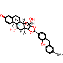 CNc1cccc(Cc2ccc([C@@H]3O[C@@H]4C[C@H]5[C@@H]6CCC7=CC(=O)C=C[C@]7(C)[C@@]6(F)[C@@H](O)C[C@]5(C)[C@]4(C(=O)CO)O3)cc2O)c1